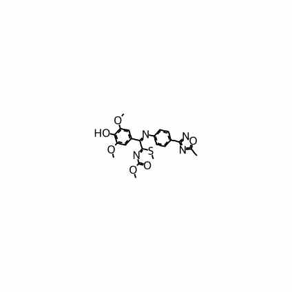 COC(=O)/N=C(SC)/C(=N\c1ccc(-c2noc(C)n2)cc1)c1cc(OC)c(O)c(OC)c1